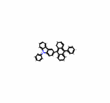 C1=Cc2c(c(-c3ccc4c(c3)c3ccccc3n4-c3ccccc3)c3ccccc3c2-c2ccccc2)CC1